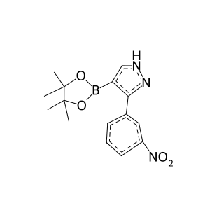 CC1(C)OB(c2c[nH]nc2-c2cccc([N+](=O)[O-])c2)OC1(C)C